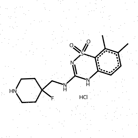 Cc1ccc2c(c1C)S(=O)(=O)N=C(NCC1(F)CCNCC1)N2.Cl